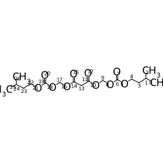 CC(C)CCOC(=O)OCOC(=O)CC(=O)OCOC(=O)OCCC(C)C